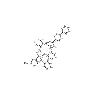 CC(C)(C)c1ccc2c(c1)c1cc3cc(c4ccccc4c4nc(-c5ccc(-c6ccccc6)cc5)nc(n4)c4ccccc34)c1n2-c1ccccc1